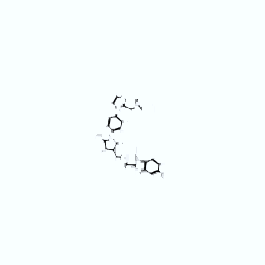 CN(C)Cc1nccn1-c1ccc(N2CC(CNC(=O)c3nc4cc(Cl)ccc4[nH]3)CC2=O)cc1